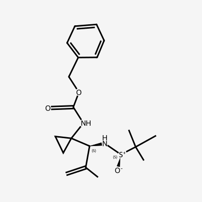 C=C(C)[C@H](N[S@+]([O-])C(C)(C)C)C1(NC(=O)OCc2ccccc2)CC1